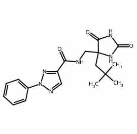 CC(C)(C)CC1(CNC(=O)c2cnn(-c3ccccc3)n2)NC(=O)NC1=O